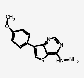 COc1ccc(-c2csc3c(NN)ncnc23)cc1